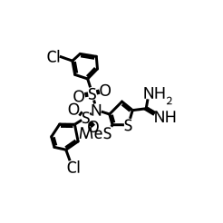 CSc1sc(C(=N)N)cc1N(S(=O)(=O)c1cccc(Cl)c1)S(=O)(=O)c1cccc(Cl)c1